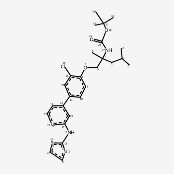 CC(C)CC(C)(COc1ccc(-c2ccnc(Nc3nccs3)c2)cc1Cl)NC(=O)OC(C)(C)C